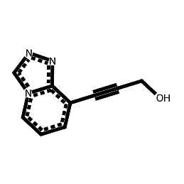 OCC#Cc1cccn2cnnc12